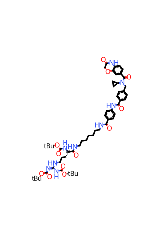 CC(C)(C)OC(=O)/N=C(/NCCC[C@H](NC(=O)OC(C)(C)C)C(=O)NCCCCCCCNC(=O)c1ccc(NC(=O)c2ccc(CN(C(=O)c3ccc4c(c3)OCC(=O)N4)C3CC3)cc2)cc1)NC(=O)OC(C)(C)C